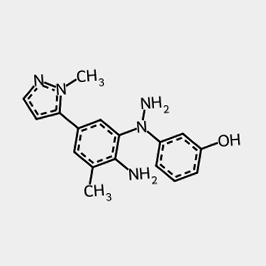 Cc1cc(-c2ccnn2C)cc(N(N)c2cccc(O)c2)c1N